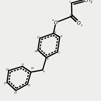 C=CC(=O)Oc1ccc(Cc2ccccc2)cc1